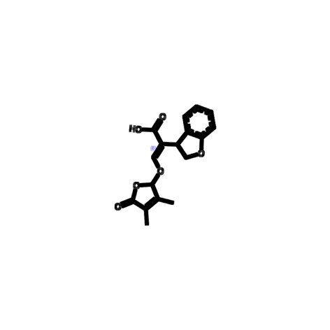 CC1=C(C)C(O/C=C(/C(=O)O)C2COc3ccccc32)OC1=O